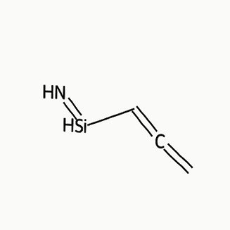 C=C=C[SiH]=N